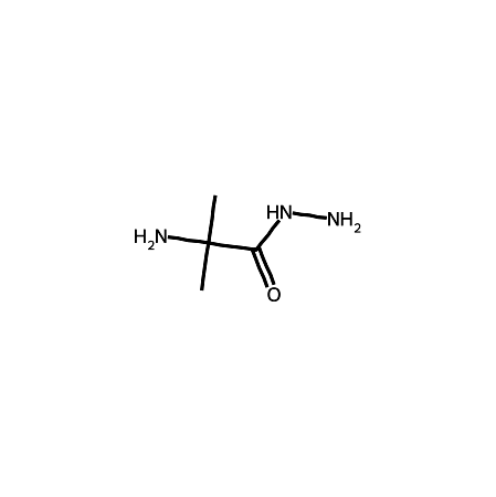 CC(C)(N)C(=O)NN